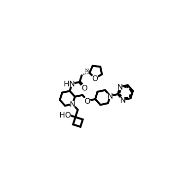 O=C(C[C@@H]1CCCO1)NC1CCCN(CC2(O)CCC2)C1COC1CCN(c2ncccn2)CC1